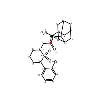 NC(=O)C12CC3CC(C1)C(NC(=O)CN1CCCN(c4ccccc4Cl)S1(=O)=O)C(C3)C2